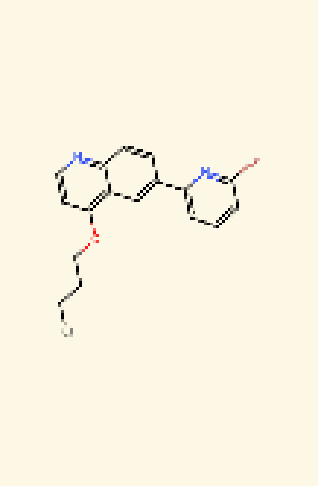 CCCCOc1ccnc2ccc(-c3cccc(Br)n3)cc12